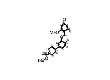 COc1cc(Cl)cc(F)c1COc1cc(C2=CCN(C(=O)OC(C)(C)C)CC2)ccc1F